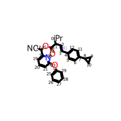 CC(C)C(/C=C/c1ccc(C2CC2)cc1)C(=O)OC(C#N)c1cccc(Oc2ccccc2)n1